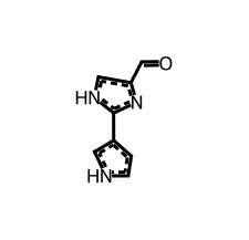 O=Cc1c[nH]c(-c2cc[nH]c2)n1